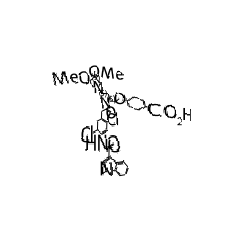 COC1CN([C@H]2C[C@@H](CO[C@H]3CC[C@H](C(=O)O)CC3)N(C(=O)Cc3cc(Cl)c(NC(=O)c4cn(C)c5ccccc45)cc3Cl)C2)C[C@@H]1OC